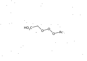 CC(=O)OOOCC(=O)O